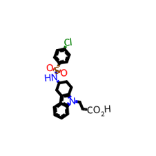 O=C(O)CCn1c2c(c3ccccc31)CC(NS(=O)(=O)c1ccc(Cl)cc1)CC2